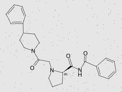 O=C(NC(=O)[C@H]1CCCN1CC(=O)N1CCC(c2ccccc2)CC1)c1ccccc1